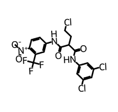 O=C(Nc1cc(Cl)cc(Cl)c1)C(CCCl)C(=O)Nc1ccc([N+](=O)[O-])c(C(F)(F)F)c1